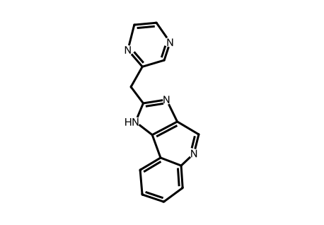 c1ccc2c(c1)ncc1nc(Cc3cnccn3)[nH]c12